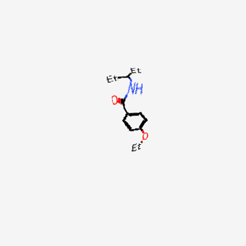 CCOc1ccc(C(=O)NC(CC)CC)cc1